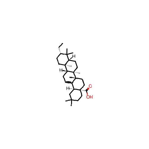 CC[C@H]1CC[C@]2(C)[C@H]3CC=C4[C@@H]5CC(C)(C)CC[C@]5(C(=O)O)CC[C@@]4(C)[C@]3(C)CC[C@H]2C1(C)C